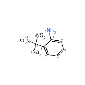 Nc1ccccc1C([N+](=O)[O-])([N+](=O)[O-])[N+](=O)[O-]